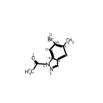 CC(=O)n1ncc2cc(C)c(Br)cc21